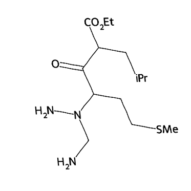 CCOC(=O)C(CC(C)C)C(=O)C(CCSC)N(N)CN